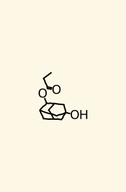 CCC(=O)OC1C2CC3CC1CC(O)(C3)C2